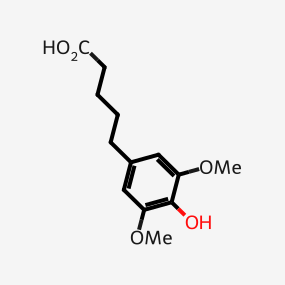 COc1cc(CCCCC(=O)O)cc(OC)c1O